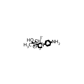 CC(O)[N+](C)(C)C1CCN(c2ccc(N)cc2)C1.[I-]